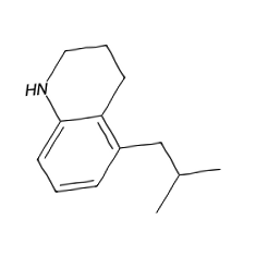 CC(C)Cc1cccc2c1CCCN2